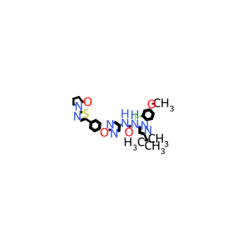 COc1ccc(-n2nc(C(C)(C)C)cc2NC(=O)Nc2cnc(Oc3ccc(-c4cnc(N5CCCC5=O)s4)cc3)nc2)c(F)c1